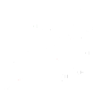 CCOc1ccc(Cc2cc(C3OC(C)C(C)C(C)C3OCc3ccccc3)ccc2Cl)cc1